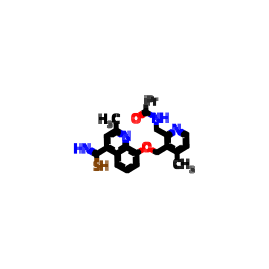 Cc1cc(C(=N)S)c2cccc(OCc3c(C)ccnc3CNC(=O)C(C)C)c2n1